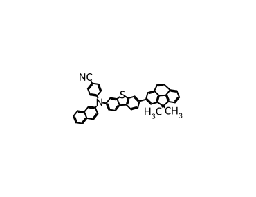 CC1(C)c2cccc3ccc4cc(-c5ccc6c(c5)sc5cc(N(c7ccc(C#N)cc7)c7ccc8ccccc8c7)ccc56)cc1c4c23